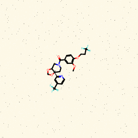 COc1cc(C(=O)N2CC[C@]3(c4cc(C(F)(F)F)ccn4)OCOC3C2)ccc1OCCC(F)(F)F